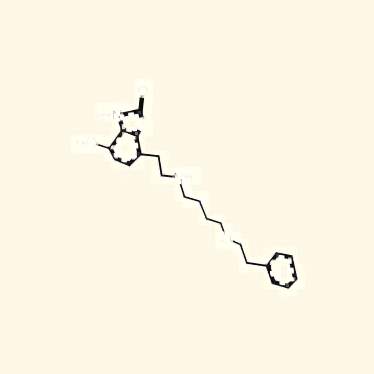 O=c1[nH]c2c(O)ccc(CCNCCCCOCCc3ccccc3)c2s1